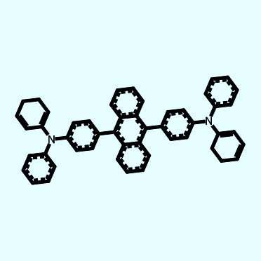 C1=CCCC(N(c2ccccc2)c2ccc(-c3c4ccccc4c(-c4ccc(N(C5=CCCC=C5)c5ccccc5)cc4)c4ccccc34)cc2)=C1